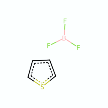 FB(F)F.c1ccsc1